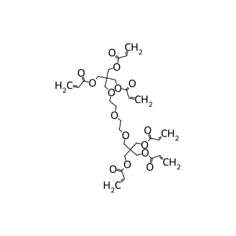 C=CC(=O)OCC(COCCOCCOCC(COC(=O)C=C)(COC(=O)C=C)COC(=O)C=C)(COC(=O)C=C)COC(=O)C=C